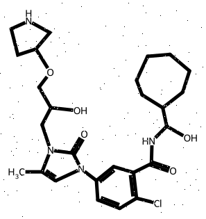 Cc1cn(-c2ccc(Cl)c(C(=O)NC(O)C3CCCCCC3)c2)c(=O)n1CC(O)COC1CCNC1